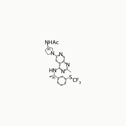 CC(=O)N[C@@H]1CCN(c2cc3c(N[C@H](C)c4cccc(SC(F)(F)F)c4)nc(C)nc3cn2)C1